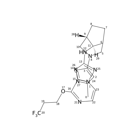 Cc1cc(N2CC3CC[C@@H](C2)[C@@H]3Nc2nc3c(OCCC(F)(F)F)nccn3n2)sn1